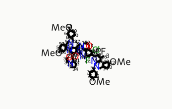 COc1ccc(CN(Cc2ccc(OC)cc2)c2cc(C)c(C(F)(F)F)c(-c3c(Cl)c4c5c(nc(OC[C@]67CCCN6CCOC7)nc5c3F)N([C@H](C)c3cccnc3N(Cc3ccc(OC)cc3)Cc3ccc(OC)cc3)CCO4)n2)cc1